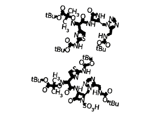 CC(C)(C)OC(=O)NCc1ncnn1C[C@@H]1[C@H](NC(=O)/C(=N\OC(C)(C)C(=O)OC(C)(C)C)c2csc(NC(=O)OC(C)(C)C)n2)C(=O)N1S(=O)(=O)O.CC(C)(C)OC(=O)NCc1ncnn1C[C@H]1NC(=O)[C@H]1NC(=O)/C(=N\OC(C)(C)C(=O)OC(C)(C)C)c1csc(NC(=O)OC(C)(C)C)n1